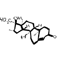 C[C@H]1C[C@H]2[C@@H]3CCC4=CC(=O)C=C[C@]4(C)[C@H]3CC[C@]2(C)[C@@]1(O)C(=O)O